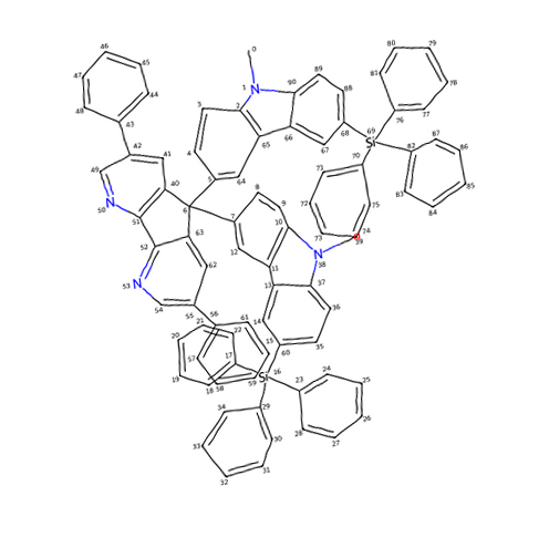 Cn1c2ccc(C3(c4ccc5c(c4)c4cc([Si](c6ccccc6)(c6ccccc6)c6ccccc6)ccc4n5C)c4cc(-c5ccccc5)cnc4-c4ncc(-c5ccccc5)cc43)cc2c2cc([Si](c3ccccc3)(c3ccccc3)c3ccccc3)ccc21